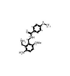 COc1ccc(N)c(CN)c1CNC(=O)c1ccc(OC(F)(F)F)cc1